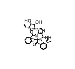 C=C[C@H]1O[C@@H](n2cnc3c2N(C(=O)c2ccccc2)C(Cl)(C(=O)c2ccccc2)N=C3NOC)C(O)C1O